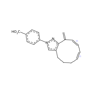 C=C1/C=C\C=C/CCCc2cn(-c3ccc(C(=O)O)cc3)nc21